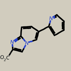 O=C(O)c1cn2cc(-c3ccccn3)ccc2n1